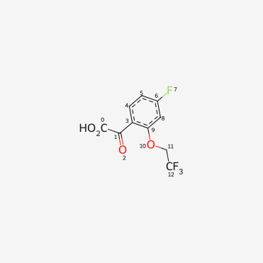 O=C(O)C(=O)c1ccc(F)cc1OCC(F)(F)F